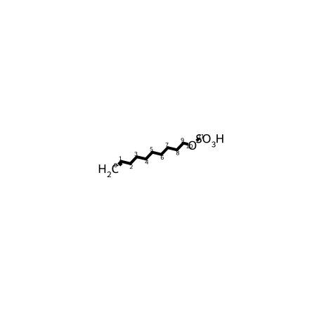 C=CCCCCCCCCOS(=O)(=O)O